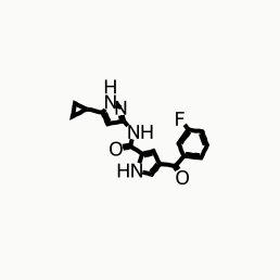 O=C(c1cccc(F)c1)c1c[nH]c(C(=O)Nc2cc(C3CC3)[nH]n2)c1